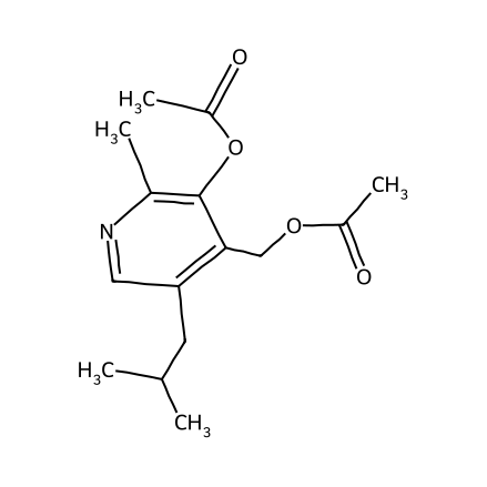 CC(=O)OCc1c(CC(C)C)cnc(C)c1OC(C)=O